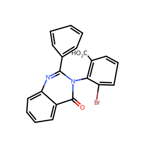 O=C(O)c1cccc(Br)c1-n1c(-c2ccccc2)nc2ccccc2c1=O